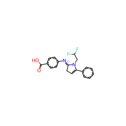 O=C(O)c1ccc(/N=C2\CC=C(c3ccccc3)N2CC(F)F)cc1